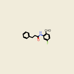 O=Cc1ccc(F)cc1NC(=O)CCc1ccccc1